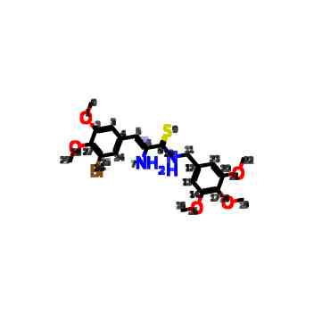 COc1cc(/C=C(\N)C(=S)NCc2cc(OC)c(OC)c(OC)c2)cc(Br)c1OC